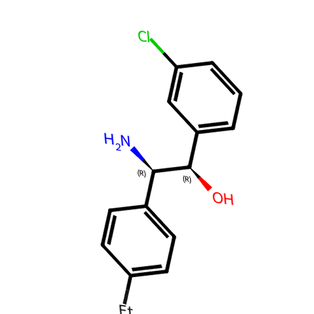 CCc1ccc([C@@H](N)[C@H](O)c2cccc(Cl)c2)cc1